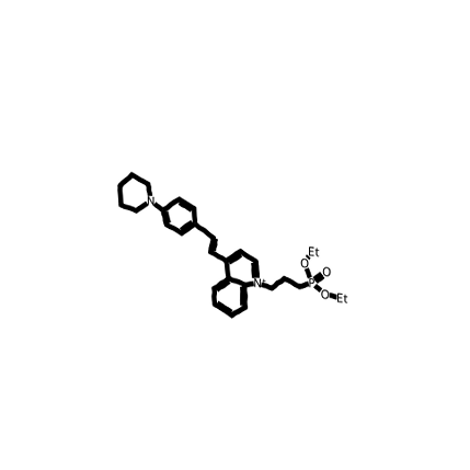 CCOP(=O)(CCC[n+]1ccc(C=Cc2ccc(N3CCCCC3)cc2)c2ccccc21)OCC